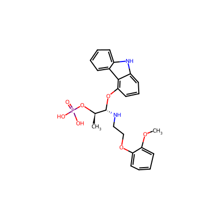 COc1ccccc1OCCN[C@@H](Oc1cccc2[nH]c3ccccc3c12)[C@@H](C)OP(=O)(O)O